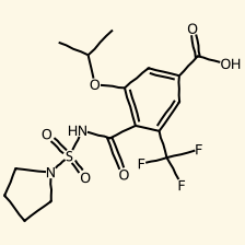 CC(C)Oc1cc(C(=O)O)cc(C(F)(F)F)c1C(=O)NS(=O)(=O)N1CCCC1